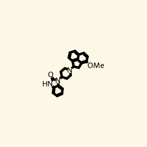 COc1ccc2cccc3c2c1CC3N1CCC(n2c(=O)[nH]c3ccccc32)CC1